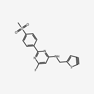 CS(=O)(=O)c1ccc(-c2nc(F)cc(NCc3cc#cs3)n2)cc1